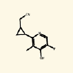 Cc1c(C2CC2CC#N)ncc(F)c1O